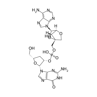 Nc1nc2c(ncn2[C@@H]2O[C@H](CO)C[C@@H]2OP(=O)(O)OC[C@@]23CO[C@H]([C@H](n4cnc5c(N)ncnc54)O2)[C@H]3O)c(=O)[nH]1